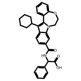 O=C(NC(C(=O)O)c1ccccc1)c1ccc2c(C3CCCCC3)c3n(c2c1)CCOc1ccccc1-3